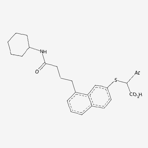 CC(=O)C(Sc1ccc2cccc(CCCC(=O)NC3CCCCC3)c2c1)C(=O)O